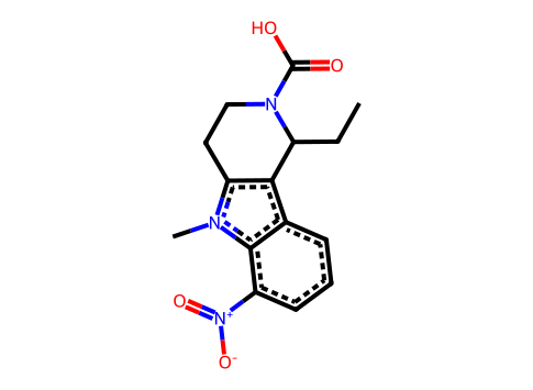 CCC1c2c(n(C)c3c([N+](=O)[O-])cccc23)CCN1C(=O)O